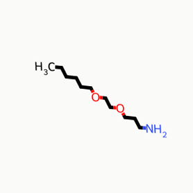 CCCCCCOCCOCCCN